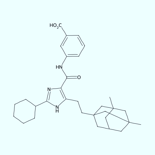 CC12CC3CC(C)(C1)CC(CCc1[nH]c(C4CCCCC4)nc1C(=O)Nc1cccc(C(=O)O)c1)(C3)C2